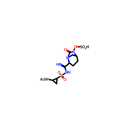 CC(=O)NC1CC1S(=O)(=O)NC(=N)C1CCC2CN1C(=O)N2OS(=O)(=O)O